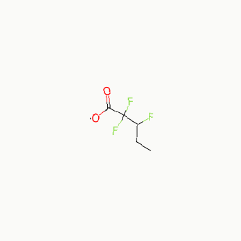 CCC(F)C(F)(F)C([O])=O